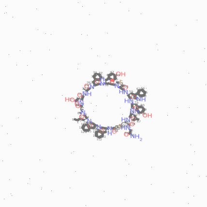 CCCC[C@H]1C(=O)N(C)CC(=O)N[C@@H](CC(=O)O)C(=O)N[C@@H](C)C(=O)N(C)C(Cc2ccccc2)C(=O)N[C@@H](Cc2ccc(O)cc2)C2OC2N2CSCC2C(=O)N[C@@H](Cc2c[nH]c3ccccc23)C(=O)N[C@@H](Cc2ccc(O)cc2)C(=O)N[C@@H](CC(C)C)C(=O)N[C@H](C(=O)NCC(N)=O)CSCC(=O)N[C@@H](Cc2ccccc2)C(=O)N(C)C(Cc2ccccc2)C(=O)N1C